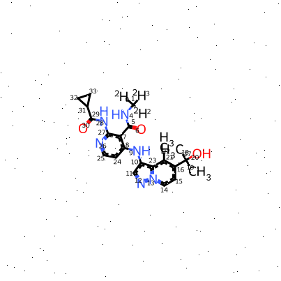 [2H]C([2H])([2H])NC(=O)c1c(Nc2cnn3ccc(C(C)(C)O)c(C)c23)ccnc1NC(=O)C1CC1